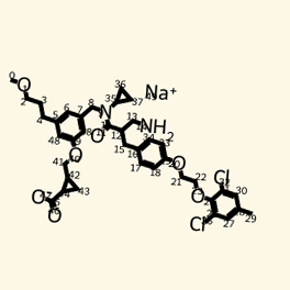 COCCCc1cc(CN(C(=O)C(CN)Cc2ccc(OCCOc3c(Cl)cc(C)cc3Cl)cc2)C2CC2)cc(OCC2CC2C(=O)[O-])c1.[Na+]